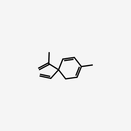 C=CC1(C(=C)C)C=CC(C)=CC1